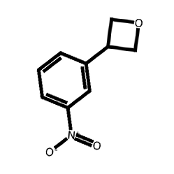 O=[N+]([O-])c1cccc(C2COC2)c1